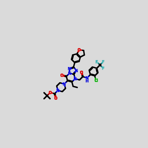 CCc1c(N2CCN(C(=O)OC(C)(C)C)CC2)c(=O)n2nc(-c3ccc4c(c3)CCO4)nc2n1CC(=O)Nc1ccc(C(F)(F)F)cc1Cl